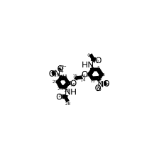 CC(=O)Nc1ccc([N+](=O)[O-])cc1OCCOc1cc([N+](=O)[O-])ccc1NC(C)=O